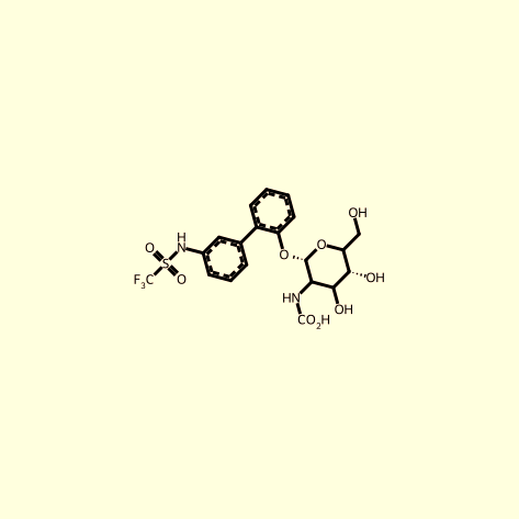 O=C(O)NC1C(O)[C@@H](O)C(CO)O[C@H]1Oc1ccccc1-c1cccc(NS(=O)(=O)C(F)(F)F)c1